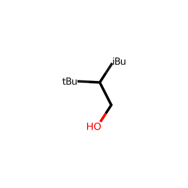 CCC(C)C(CO)C(C)(C)C